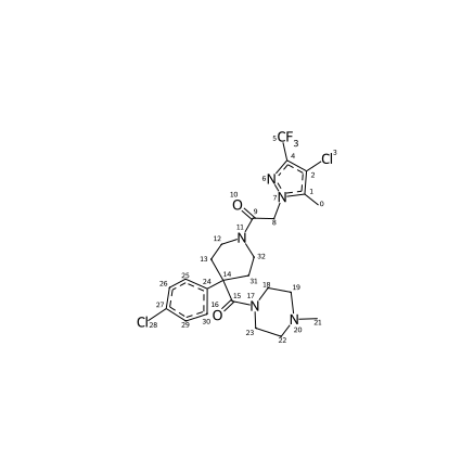 Cc1c(Cl)c(C(F)(F)F)nn1CC(=O)N1CCC(C(=O)N2CCN(C)CC2)(c2ccc(Cl)cc2)CC1